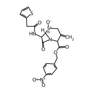 C=C1C[S+]([O-])[C@@H]2C(NC(=O)Cc3cccs3)C(=O)N2C1C(=O)OCc1ccc([N+](=O)[O-])cc1